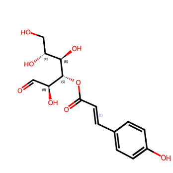 O=C[C@H](O)[C@@H](OC(=O)/C=C/c1ccc(O)cc1)[C@H](O)[C@H](O)CO